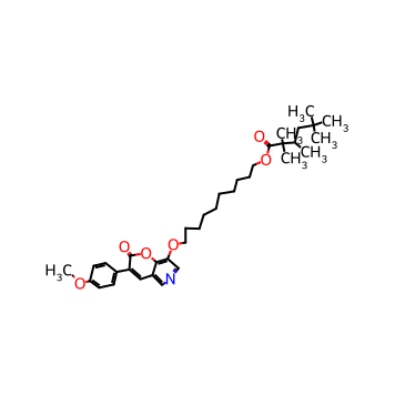 COc1ccc(-c2cc3cncc(OCCCCCCCCCCOC(=O)C(C)(C)C(C)CC(C)(C)C)c3oc2=O)cc1